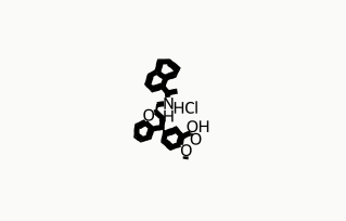 COc1ccc([C@@H]2C[C@H](CNC(C)c3cccc4ccccc34)Oc3ccccc32)cc1C(=O)O.Cl